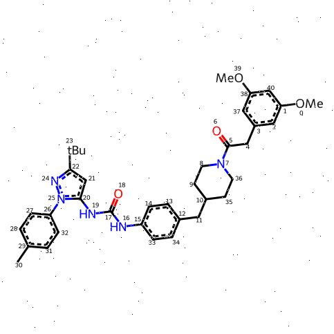 COc1cc(CC(=O)N2CCC(Cc3ccc(NC(=O)Nc4cc(C(C)(C)C)nn4-c4ccc(C)cc4)cc3)CC2)cc(OC)c1